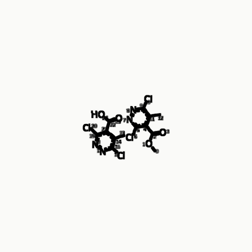 COC(=O)c1c(Cl)nnc(Cl)c1C.Cc1c(Cl)nnc(Cl)c1C(=O)O